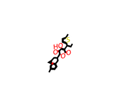 CCC(C1=C(O)C(=O)C(C(Cc2ccc(C)cc2)CC2CC2)OC1=O)c1ccc(C)s1